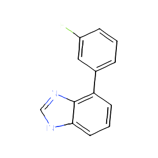 Fc1cccc(-c2cccc3[nH]cnc23)c1